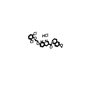 COc1ccc2c(c1)CCCN2C(=O)C(CN)Cc1ccc(OCCOc2c(Cl)cccc2Cl)cc1.Cl